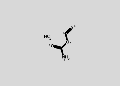 Cl.NC(=O)OC=S